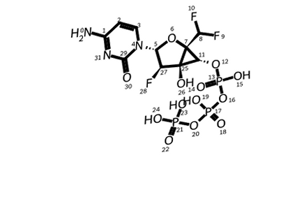 Nc1ccn([C@@H]2O[C@]3(C(F)F)[C@H](OP(=O)(O)OP(=O)(O)OP(=O)(O)O)[C@]3(O)[C@H]2F)c(=O)n1